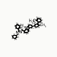 C/C(=N\C(=N/CC1=CCCC=C1)c1ccccc1)c1cccc2c1sc1ccc(-c3ccc(C)c(-c4ccccc4C)c3)cc12